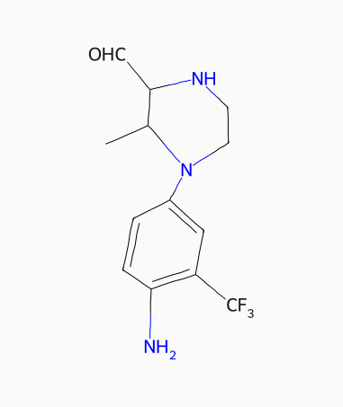 CC1C(C=O)NCCN1c1ccc(N)c(C(F)(F)F)c1